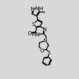 Cc1[nH]ncc1-c1cc2nc(CN3CCOC(Sc4ccccc4)C3)[nH]c(=O)c2s1